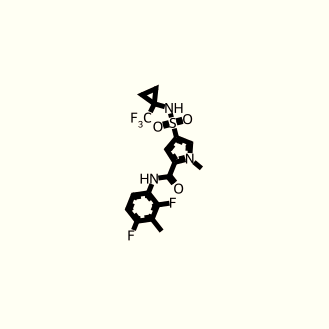 Cc1c(F)ccc(NC(=O)c2cc(S(=O)(=O)NC3(C(F)(F)F)CC3)cn2C)c1F